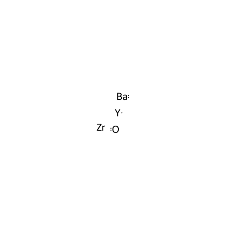 [Ba].[O].[Y].[Zr]